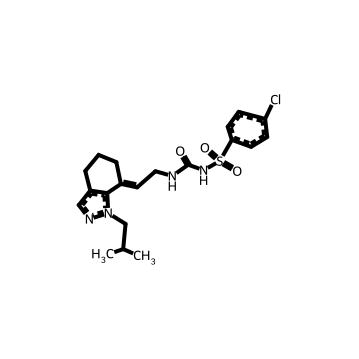 CC(C)Cn1ncc2c1C(=CCNC(=O)NS(=O)(=O)c1ccc(Cl)cc1)CCC2